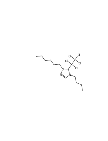 CCCCCCN1N=CN(CCCC)C1C(Cl)(Cl)C(Cl)(Cl)Cl